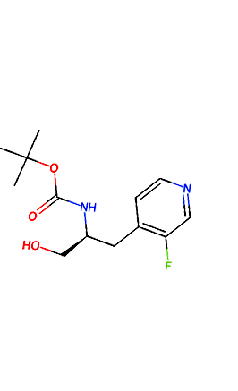 CC(C)(C)OC(=O)N[C@H](CO)Cc1ccncc1F